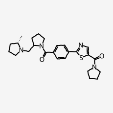 C[C@H]1CCCN1CC1CCCN1C(=O)c1ccc(-c2ncc(C(=O)N3CCCC3)s2)cc1